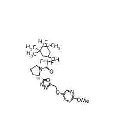 COc1ccc(OCc2nnc([C@@H]3CCCN3C(=O)C(F)(F)C3(O)CC(C)(C)CC(C)(C)C3)o2)cn1